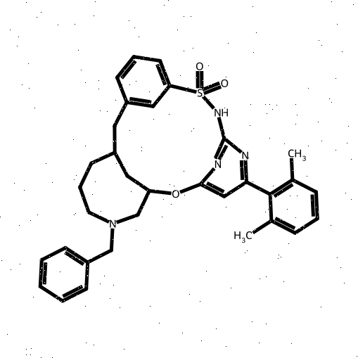 Cc1cccc(C)c1-c1cc2nc(n1)NS(=O)(=O)c1cccc(c1)CC1CCCN(Cc3ccccc3)CC(C1)O2